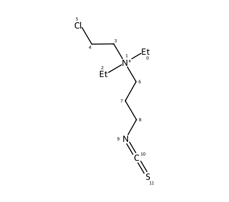 CC[N+](CC)(CCCl)CCCN=C=S